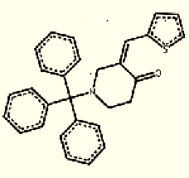 O=C1CCN(C(c2ccccc2)(c2ccccc2)c2ccccc2)C/C1=C/c1cccs1